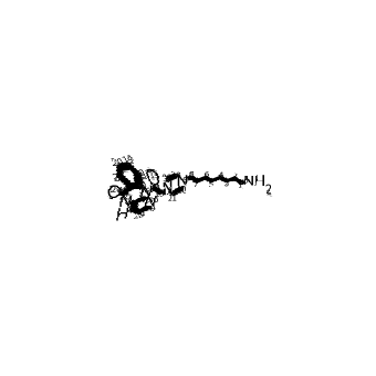 NCCCCCCCCN1CCN(CC(=O)N2c3ccccc3C(=O)Nc3cccnc32)CC1